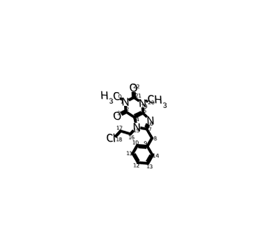 Cn1c(=O)c2c(nc(Cc3ccccc3)n2CCCl)n(C)c1=O